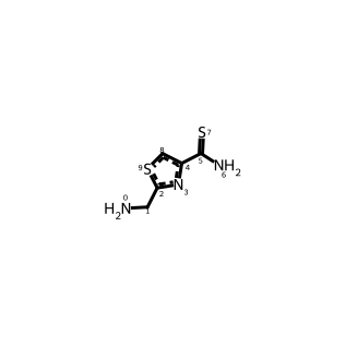 NCc1nc(C(N)=S)cs1